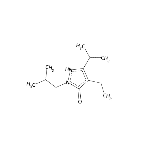 CCc1c(C(C)C)[nH]n(CC(C)C)c1=O